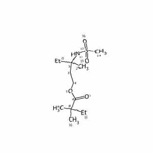 CCC(C)(CCOC(=O)C(C)(C)CC)NS(C)(=O)=O